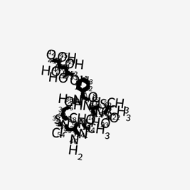 CC1(C)S[C@@H]2[C@H](NC(=O)[C@H](N)c3ccccc3)C(=O)N2[C@H]1C(=O)O.Cc1ncc(C[n+]2csc(CCO)c2C)c(N)n1.O=C[C@H](O)[C@@H](O)[C@H](O)[C@H](O)CO.[Cl-]